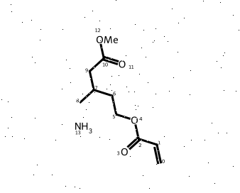 C=CC(=O)OCCC(C)CC(=O)OC.N